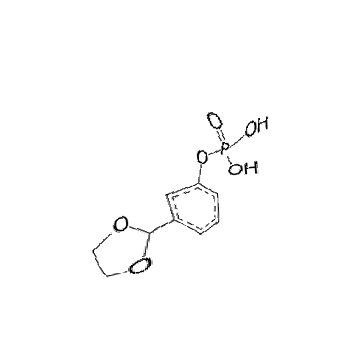 O=P(O)(O)Oc1cccc(C2OCCO2)c1